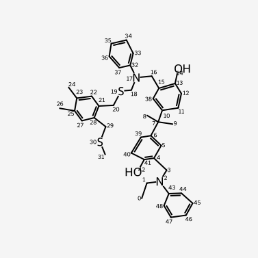 CCN(Cc1cc(C(C)(C)c2ccc(O)c(CN(CSCc3cc(C)c(C)cc3CSC)c3ccccc3)c2)ccc1O)c1ccccc1